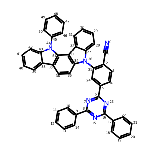 N#Cc1ccc(-c2nc(-c3ccccc3)nc(-c3ccccc3)n2)cc1-n1c2ccccc2c2c1ccc1c3ccccc3n(-c3ccccc3)c12